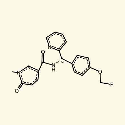 Cn1cc(C(=O)N[C@@H](c2ccc(OCF)cc2)c2ccccn2)ccc1=O